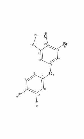 Fc1ccc(Oc2cc(Br)c3c(c2)CCO3)cc1F